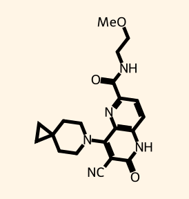 COCCNC(=O)c1ccc2[nH]c(=O)c(C#N)c(N3CCC4(CC3)CC4)c2n1